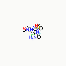 C=CC(=O)N1CC(C)N(/C(=N/[SH]=O)c2cc(Cl)c(-c3c(N)cccc3F)nc2N(C=O)c2ccccc2C(C)(C)C)CC1C